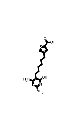 Nc1nc(N)c(CCCCCCc2csc(C(=O)O)c2)c(O)n1